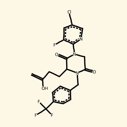 C=C(O)CCC1C(=O)N(c2ncc(Cl)cc2F)CC(=O)N1Cc1ccc(C(F)(F)F)cc1